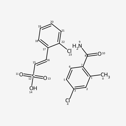 Cc1cc(Cl)ccc1C(N)=O.O=S(=O)(O)C=Cc1ccccc1Cl